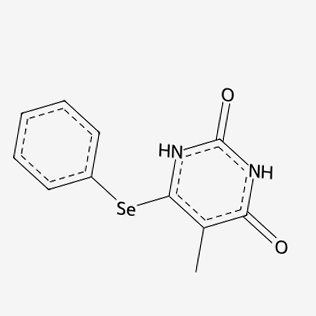 Cc1c([Se]c2ccccc2)[nH]c(=O)[nH]c1=O